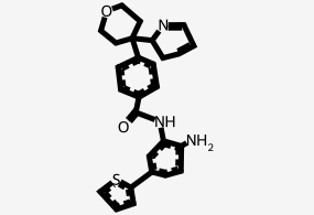 Nc1ccc(-c2cccs2)cc1NC(=O)c1ccc(C2(C3CC=CC=N3)CCOCC2)cc1